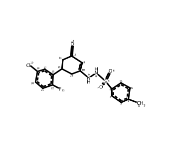 Cc1ccc(S(=O)(=O)NNC2=CC(=O)CC(c3cc(Cl)ccc3F)C2)cc1